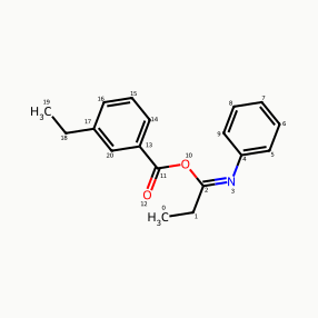 CCC(=Nc1ccccc1)OC(=O)c1cccc(CC)c1